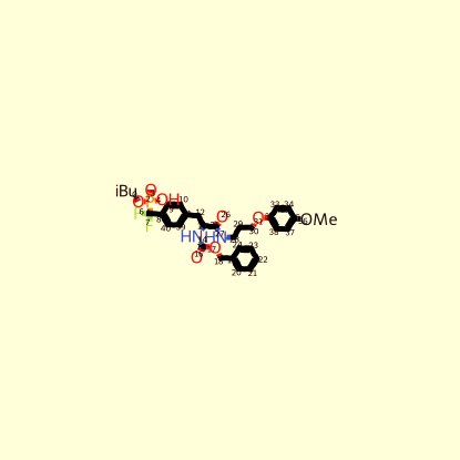 CCC(C)OP(=O)(O)C(F)(F)c1ccc(CC(NC(=O)OCc2ccccc2)C(=O)NCCCOc2ccc(OC)cc2)cc1